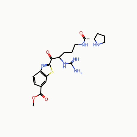 COC(=O)c1ccc2nc(C(=O)C(CCCNC(=O)[C@@H]3CCCN3)NC(=N)N)sc2c1